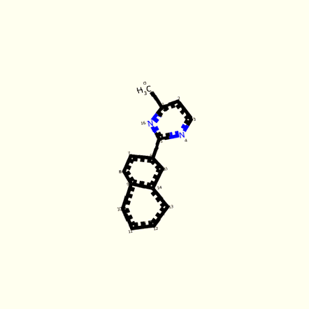 Cc1ccnc(-c2ccc3ccccc3c2)n1